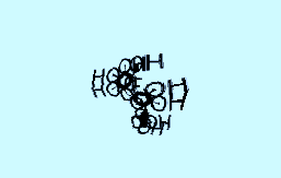 O=P(O)(O)OC[C@H]1O[C@H](O[C@H]2O[C@H](CO)[C@@H](O)[C@H](O)[C@H]2O)[C@H](F)[C@@H](O)[C@@H]1O